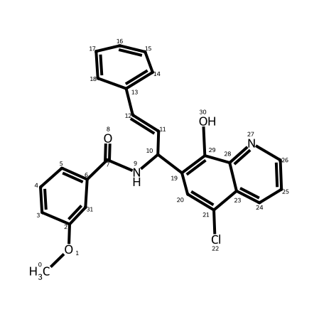 COc1cccc(C(=O)NC(/C=C/c2ccccc2)c2cc(Cl)c3cccnc3c2O)c1